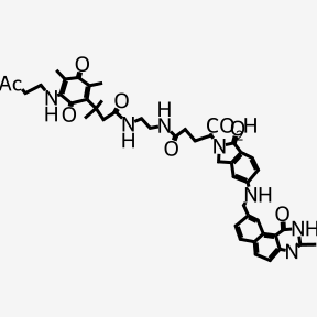 CC(=O)CCNC1=C(C)C(=O)C(C)=C(C(C)(C)CC(=O)NCCNC(=O)CCC(C(=O)O)N2Cc3cc(NCc4ccc5ccc6nc(C)[nH]c(=O)c6c5c4)ccc3C2=O)C1=O